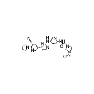 N#Cc1cc(-c2ccnc(Nc3ccc(NC(=O)CN4CC[C@H](N=O)C4)nc3)n2)cnc1N1CCCC1